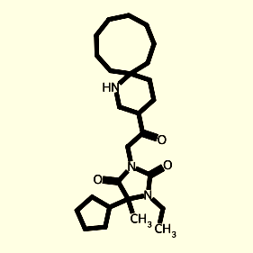 CCN1C(=O)N(CC(=O)C2CCC3(CCCCCCCC3)NC2)C(=O)C1(C)C1CCCC1